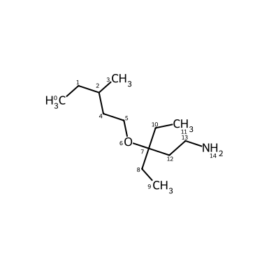 CCC(C)CCOC(CC)(CC)CCN